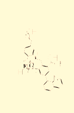 CC(C)c1cc(-c2cccc3cccnc23)cc(C(C)C)c1CC(=O)N=S(N)(=O)c1ccc(CN(C)C)cc1